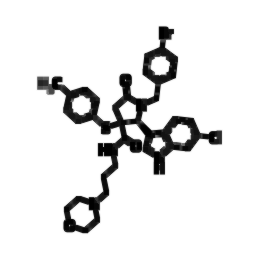 Cc1ccc(SC2(C(=O)NCCCN3CCOCC3)CC(=O)N(Cc3ccc(Br)cc3)[C@H]2c2c[nH]c3cc(Cl)ccc23)cc1